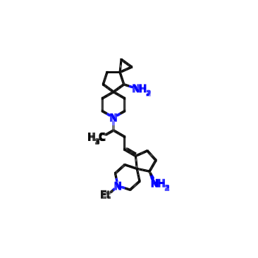 CCN1CCC2(CC1)/C(=C/CC(C)N1CCC3(CC1)CCC1(CC1)C3N)CC[C@H]2N